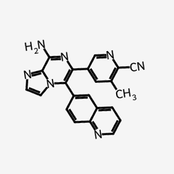 Cc1cc(-c2nc(N)c3nccn3c2-c2ccc3ncccc3c2)cnc1C#N